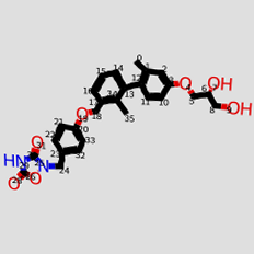 Cc1cc(OC[C@@H](O)CO)ccc1-c1cccc(COc2ccc(Cn3oc(=O)[nH]c3=O)cc2)c1C